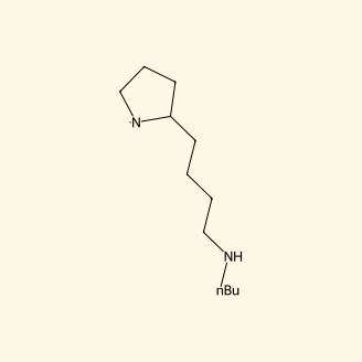 CCCCNCCCCC1CCC[N]1